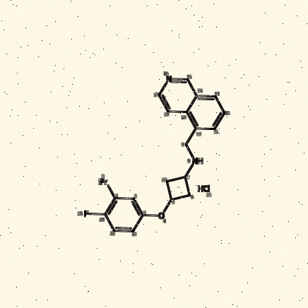 CC(C)c1cc(OC2CC(NCc3cccc4cnccc34)C2)ccc1F.Cl